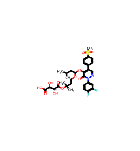 CC(C)CC(OCCC(C)(C)OC(=O)[C@H](O)[C@@H](O)C(=O)O)Oc1c(-c2ccc(S(C)(=O)=O)cc2)cnn(-c2ccc(F)c(F)c2)c1=O